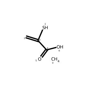 C.C=C(S)C(=O)O